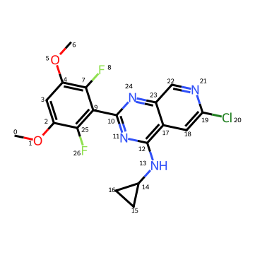 COc1cc(OC)c(F)c(-c2nc(NC3CC3)c3cc(Cl)ncc3n2)c1F